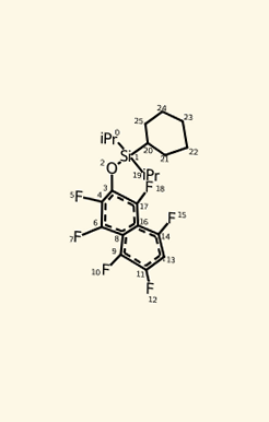 CC(C)[Si](Oc1c(F)c(F)c2c(F)c(F)[c]c(F)c2c1F)(C(C)C)C1CCCCC1